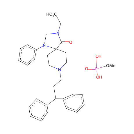 COP(=O)(O)O.O=C(O)CN1CN(c2ccccc2)C2(CCN(CCC(c3ccccc3)c3ccccc3)CC2)C1=O